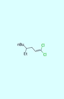 CCCCC(CC)CC=C(Cl)Cl